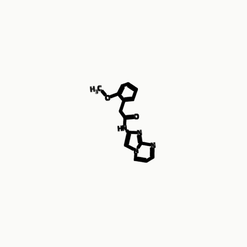 COc1ccccc1CC(=O)Nc1cn2cccnc2n1